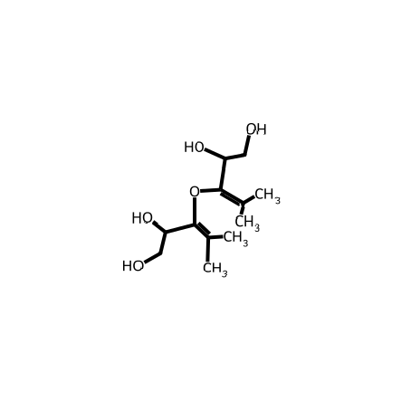 CC(C)=C(OC(=C(C)C)C(O)CO)C(O)CO